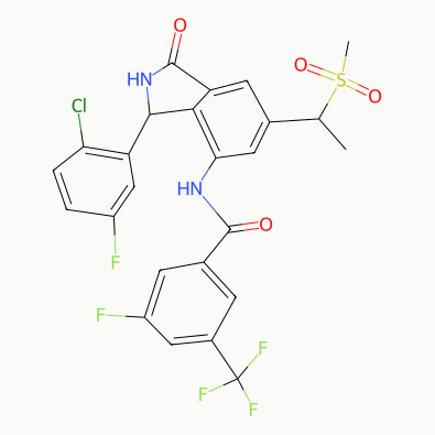 CC(c1cc(NC(=O)c2cc(F)cc(C(F)(F)F)c2)c2c(c1)C(=O)NC2c1cc(F)ccc1Cl)S(C)(=O)=O